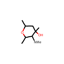 CNC1C(C)OC(C)CC1(C)O